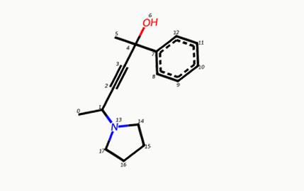 CC(C#CC(C)(O)c1ccccc1)N1CCCC1